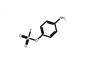 Nc1ccc(OS(=O)(=O)F)cc1